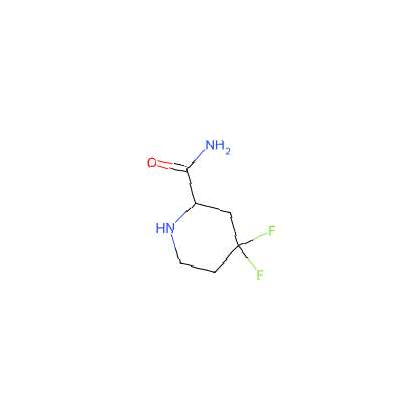 NC(=O)C1CC(F)(F)CCN1